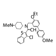 C=C(c1sc2ccccc2c1Cl)N(Cc1cc(-c2ccc(OC)cc2)ccc1OCC)[C@H]1CC[C@H](NC)CC1